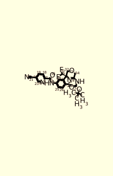 CC(C)(C)OC(=O)NC1=N[C@@](c2cc(NC(=O)c3ccc(C#N)cn3)ccc2F)(C(F)F)COC1